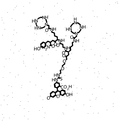 NC(=O)C(CC(=O)C(CCCCNC(=O)CN1CCNCCNCCNCC1)NC(=O)CCNC(=O)C(CCCCNC(=O)CN1CCNCCNCCNCC1)CC(=O)COCCOCCNC(=S)Nc1ccc(-c2c3ccc(=O)cc-3oc3cc(O)ccc23)c(C(=O)O)c1)Cc1ccc(O)cc1